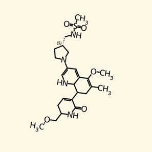 COCC1CC=C(C2CC(C)=C(OC)C3=CC(N4CC[C@H](CNS(C)(=O)=O)C4)=CNC32)C(=O)N1